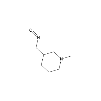 CN1CCCC(CN=O)C1